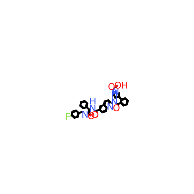 CN(Cc1ccc(F)cc1)C(=O)[C@@H](NC(=O)c1ccc2nc(NC(=O)c3ccccc3C3CCN(C(=O)O)C3)ccc2c1)c1ccccc1